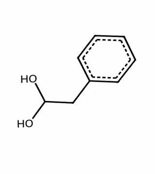 OC(O)Cc1ccccc1